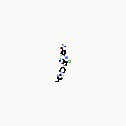 CCc1cnc(N2CCC(n3cc(Cl)c4c(Nc5ccc(C(=O)N(C)C)cc5F)ncnc43)CC2)nc1